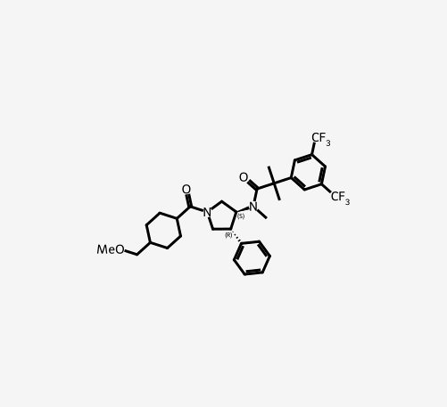 COCC1CCC(C(=O)N2C[C@@H](N(C)C(=O)C(C)(C)c3cc(C(F)(F)F)cc(C(F)(F)F)c3)[C@H](c3ccccc3)C2)CC1